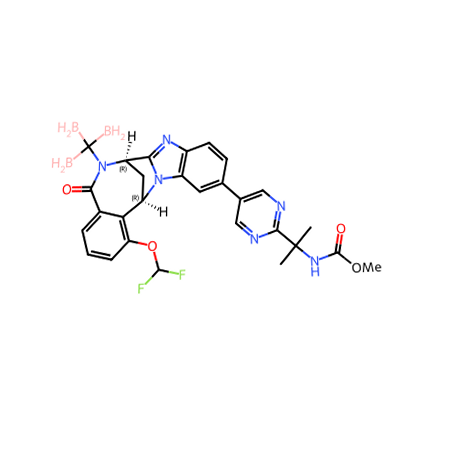 BC(B)(B)N1C(=O)c2cccc(OC(F)F)c2[C@H]2C[C@@H]1c1nc3ccc(-c4cnc(C(C)(C)NC(=O)OC)nc4)cc3n12